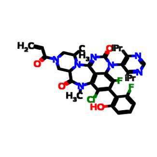 C=CC(=O)N1CC(C)N2c3nc(=O)n(-c4c(C(C)C)ncnc4C(C)C)c4c(F)c(-c5c(O)cccc5F)c(Cl)c(c34)N(C)C(=O)C2C1